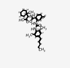 CCCC=Cc1cc(C)c(NC(=O)Nc2cc(F)ccc2C(=O)N[C@H](C(=O)O)C2(C)CCCCC2)c(C)c1